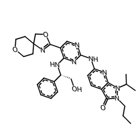 CCCn1c(=O)c2ccc(Nc3ncc(C4=NC5(CCOCC5)CO4)c(N[C@H](CO)c4ccccc4)n3)nc2n1C(C)C